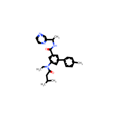 CCN(C(=O)CC(C)C)c1cc(C(=O)NC(C)c2cnccn2)cc(-c2ccc(C)cc2)c1